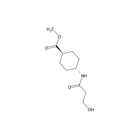 COC(=O)[C@H]1CC[C@H](NC(=O)CCO)CC1